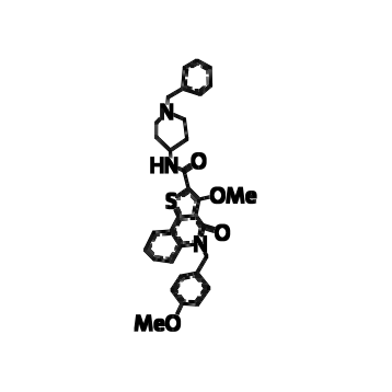 COc1ccc(Cn2c(=O)c3c(OC)c(C(=O)NC4CCN(Cc5ccccc5)CC4)sc3c3ccccc32)cc1